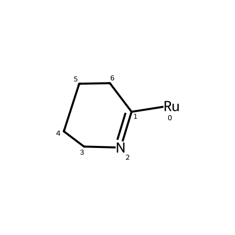 [Ru][C]1=NCCCC1